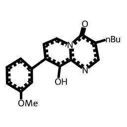 CCCCc1cnc2c(O)c(-c3cccc(OC)c3)ccn2c1=O